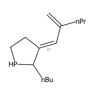 C=C(/C=C1\CCPC1CCCC)CCC